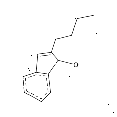 CCCCC1=Cc2ccccc2C1[O]